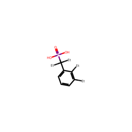 CCc1cccc(C(CC)(CC)P(=O)(O)O)c1CC